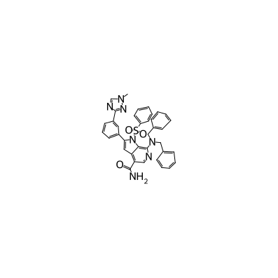 Cn1cnc(-c2cccc(-c3cc4c(C(N)=O)cnc(N(Cc5ccccc5)Cc5ccccc5)c4n3S(=O)(=O)c3ccccc3)c2)n1